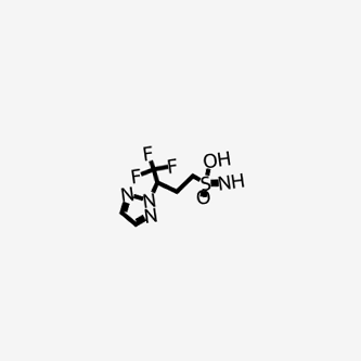 N=S(=O)(O)CCC(n1nccn1)C(F)(F)F